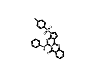 Cc1ccc(S(=O)(=O)n2ccc3c2nc(Nc2ccccc2)n2c(=O)c4ccccc4nc32)cc1